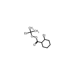 CCC1CCCCC1C(=O)OOC(C)(C)CC